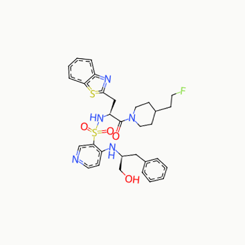 O=C([C@H](Cc1nc2ccccc2s1)NS(=O)(=O)c1cnccc1N[C@H](CO)Cc1ccccc1)N1CCC(CCF)CC1